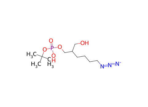 CC(C)(C)OP(=O)(O)OCC(CO)CCCCN=[N+]=[N-]